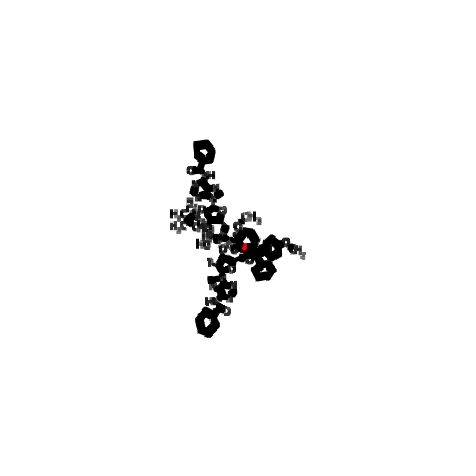 COc1ccc(C(OC[C@H]2O[C@@H](n3cnc4c(NC(=O)c5ccccc5)ncnc43)[C@H](F)[C@@H]2OP(=S)(OCCC#N)OC[C@H]2O[C@@H](n3cnc4c(NC(=O)c5ccccc5)ncnc43)[C@H](O[Si](C)(C)C(C)(C)C)[C@@H]2O[PH](=O)O)(c2ccccc2)c2ccc(OC)cc2)cc1